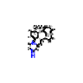 COc1ccc(N2CCNCC2CCC2CCc3ccccc32)cc1